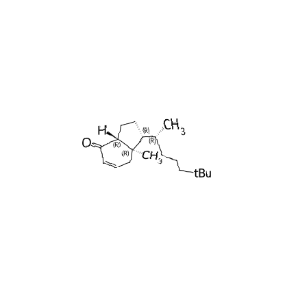 C[C@H](CCCC(C)(C)C)[C@H]1CC[C@H]2C(=O)C=CC[C@]12C